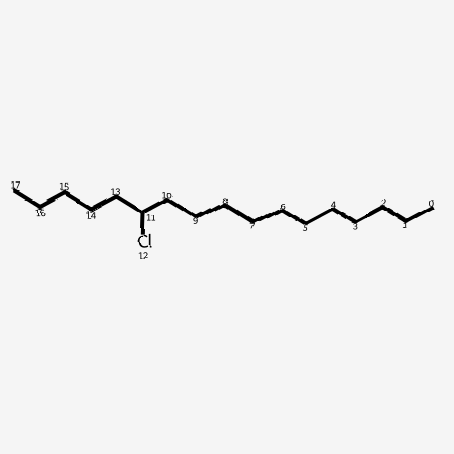 CCCCCCCCCCCC(Cl)CCCCC